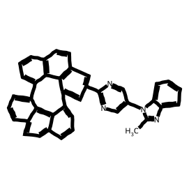 Cc1nc2ccccc2n1-c1cnc(-c2cc3ccc4cccc5c6cccc7ccc8cccc(c(c2)c3c45)c8c76)nc1